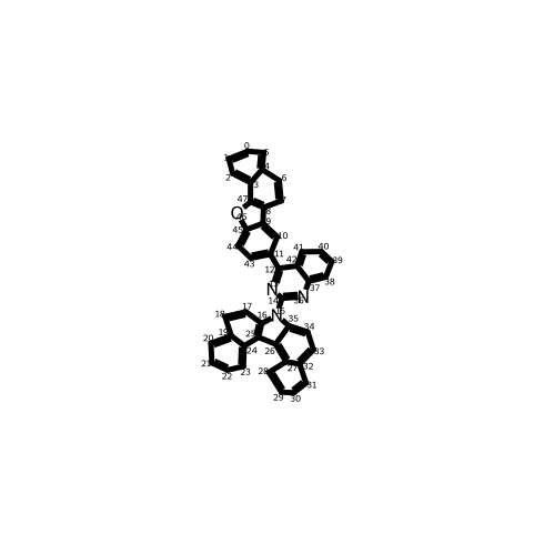 c1ccc2c(c1)ccc1c3cc(-c4nc(-n5c6ccc7ccccc7c6c6c7ccccc7ccc65)nc5ccccc45)ccc3oc21